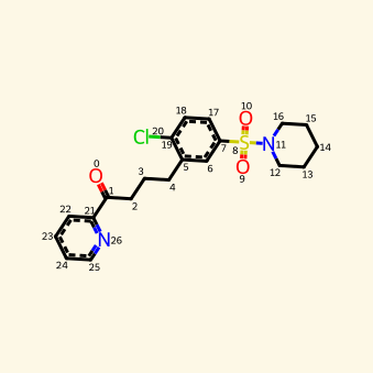 O=C(CCCc1cc(S(=O)(=O)N2CCCCC2)ccc1Cl)c1ccccn1